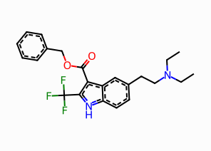 CCN(CC)CCc1ccc2[nH]c(C(F)(F)F)c(C(=O)OCc3ccccc3)c2c1